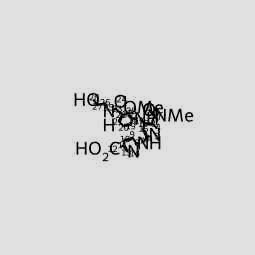 CNC(=O)c1cnc(Nc2ccc(C(=O)O)cn2)cc1Nc1cccc(C(=O)NCCO)c1OC